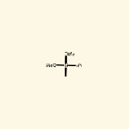 [CH2]CC[Si](C)(OC)OC